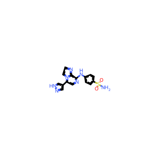 NS(=O)(=O)c1ccc(Nc2ncc(-c3cn[nH]c3)n3ccnc23)cc1